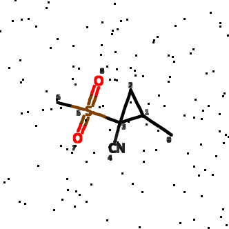 CC1CC1(C#N)S(C)(=O)=O